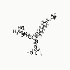 C=C(CO)C(=O)OCCOc1cc(OCCOC(=O)C(=C)CO)cc(OC(=O)c2ccc(-c3ccc(CCCCC(F)(F)F)cc3)cc2)c1